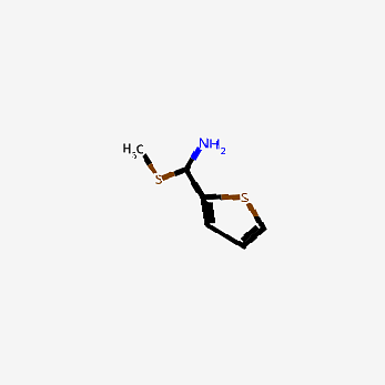 CSC(N)c1cccs1